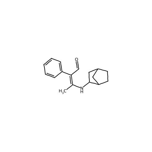 CC(NC1CC2CCC1C2)=C(C=O)c1ccccc1